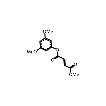 COC(=O)/C=C/C(=O)Oc1cc(OC)cc(OC)c1